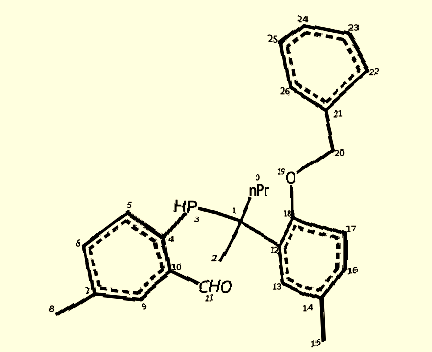 CCCC(C)(Pc1ccc(C)cc1C=O)c1cc(C)ccc1OCc1ccccc1